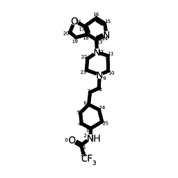 O=C(NC1CCC(CCN2CCN(c3nccc4c3CCO4)CC2)CC1)C(F)(F)F